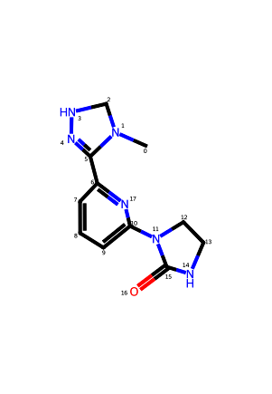 CN1CNN=C1c1cccc(N2CCNC2=O)n1